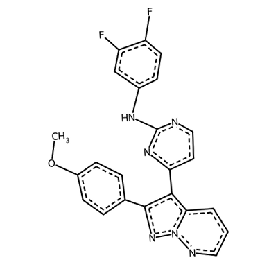 COc1ccc(-c2nn3ncccc3c2-c2ccnc(Nc3ccc(F)c(F)c3)n2)cc1